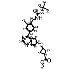 COC(=O)C1CC(Oc2cc3c(-c4ccc(CNC(=O)OC(C)(C)C)c(C)c4)ncnn3c2)C1